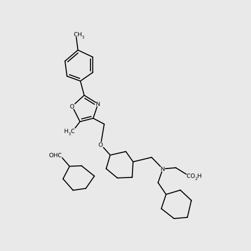 Cc1ccc(-c2nc(COC3CCCC(CN(CC(=O)O)CC4CCCCC4)C3)c(C)o2)cc1.O=CC1CCCCC1